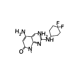 C=C(/N=C1\C(=C/N)C(N)=CC(=O)N1C)NC1CCC(F)(F)CC1